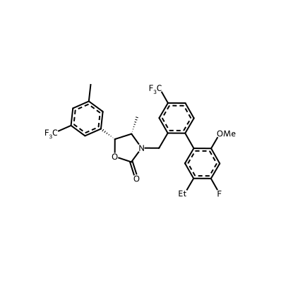 CCc1cc(-c2ccc(C(F)(F)F)cc2CN2C(=O)O[C@H](c3cc(C)cc(C(F)(F)F)c3)[C@@H]2C)c(OC)cc1F